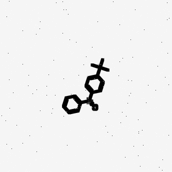 CC(C)(C)c1ccc([P](=O)c2ccccc2)cc1